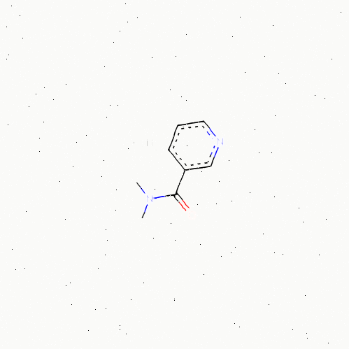 CCN(CC)C(=O)c1cccnc1.[CaH2]